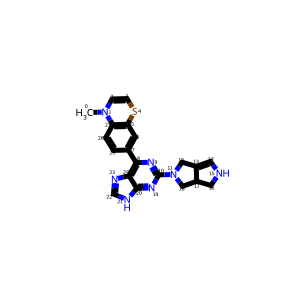 CN1C=CSc2cc(-c3nc(N4CC5=CNCC5C4)nc4[nH]cnc34)ccc21